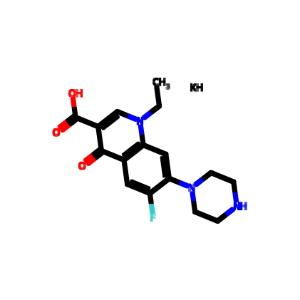 CCn1cc(C(=O)O)c(=O)c2cc(F)c(N3CCNCC3)cc21.[KH]